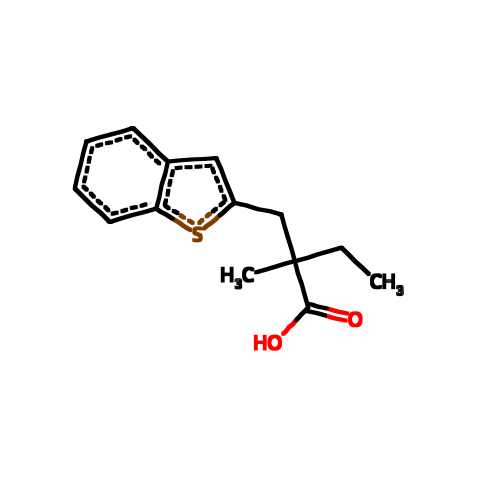 CCC(C)(Cc1cc2ccccc2s1)C(=O)O